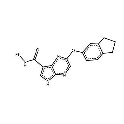 CCNC(=O)c1c[nH]c2ncc(Oc3ccc4c(c3)CCC4)nc12